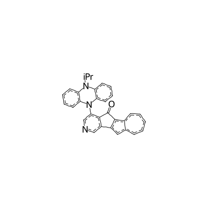 CC(C)N1c2ccccc2N(c2cncc3c2C(=O)c2c4cccccc-4cc2-3)c2ccccc21